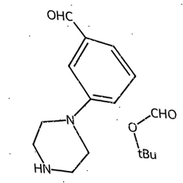 CC(C)(C)OC=O.O=Cc1cccc(N2CCNCC2)c1